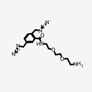 [N-]=[N+]=NCc1ccc(CN=[N+]=[N-])c(C(=O)NCCOCCOCCN)c1